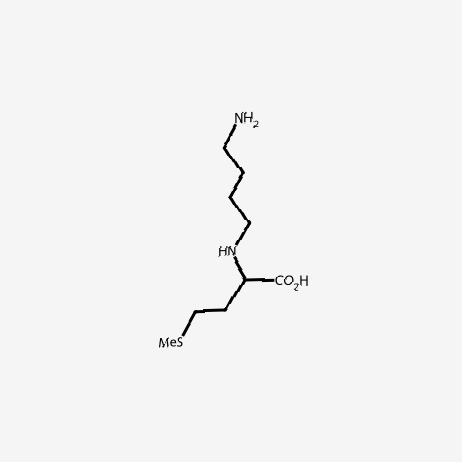 CSCCC(NCCCCN)C(=O)O